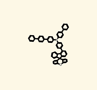 c1ccc(-c2ccc(-c3ccc(N(c4ccc(-c5ccccc5)cc4)c4ccc(-c5cccc6c5-c5ccccc5C65c6ccccc6Oc6ccccc65)cc4)cc3)cc2)cc1